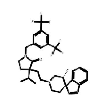 CC(C)C1(CCN2CC[C@@]3(C=Cc4ccccc43)[C@@H](C)C2)CCN(Cc2cc(C(F)(F)F)cc(C(F)(F)F)c2)C1=O